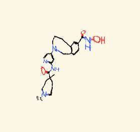 CCN1CCC(C)(C(=O)Nc2cc(N3CCCc4cc(C(=O)NO)ccc4C3)ccn2)CC1